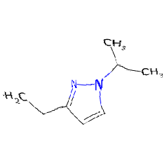 [CH2]Cc1ccn(C(C)C)n1